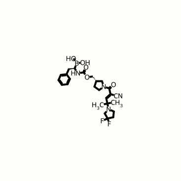 CC(C)(C=C(C#N)C(=O)N1CC[C@H](COC(=O)N[C@@H](Cc2ccccc2)B(O)O)C1)N1CCC(F)(F)C1